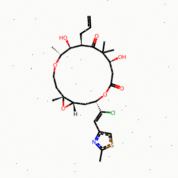 C=CC[C@H]1C(=O)C(C)(C)[C@@H](O)CC(=O)O[C@H](C(Cl)=Cc2csc(C)n2)C[C@@H]2O[C@]2(C)CCO[C@H](C)[C@H]1O